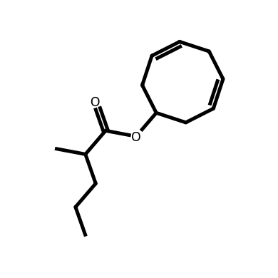 CCCC(C)C(=O)OC1C/C=C\C/C=C\C1